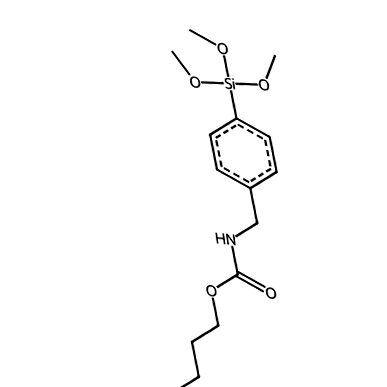 CCCCOC(=O)NCc1ccc([Si](OC)(OC)OC)cc1